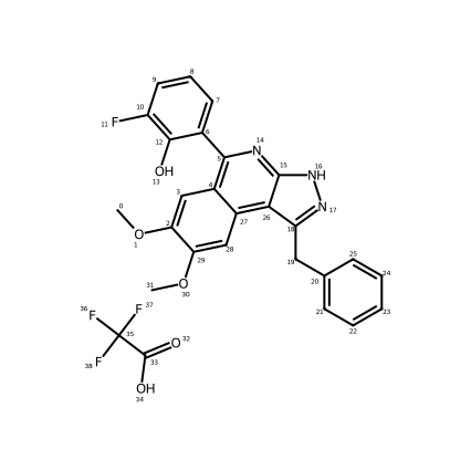 COc1cc2c(-c3cccc(F)c3O)nc3[nH]nc(Cc4ccccc4)c3c2cc1OC.O=C(O)C(F)(F)F